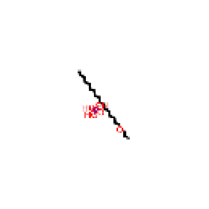 CC=COCCCCCCCCCCCCCCCCC.O=P(O)(O)O